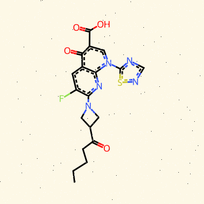 CCCCC(=O)C1CN(c2nc3c(cc2F)c(=O)c(C(=O)O)cn3-c2ncns2)C1